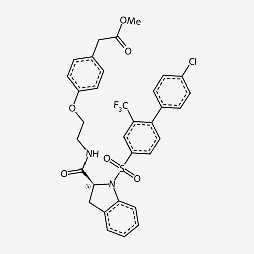 COC(=O)Cc1ccc(OCCNC(=O)[C@@H]2Cc3ccccc3N2S(=O)(=O)c2ccc(-c3ccc(Cl)cc3)c(C(F)(F)F)c2)cc1